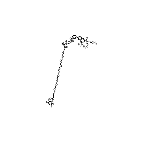 CCCN(CCC)C(=O)C1=Cc2ccc(-c3cccc(S(=O)(=O)N4CC(CN/C(=N\C)NCCOCCOCCOCCOCCOCCOCCOCCOCCOCCOCCC(=O)Oc5c(F)c(F)cc(F)c5F)C4)c3)cc2N=C(N)C1